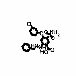 NS(=O)(=O)c1cc(C(=O)O)c(NNCc2ccccc2)cc1Oc1cccc(Cl)c1